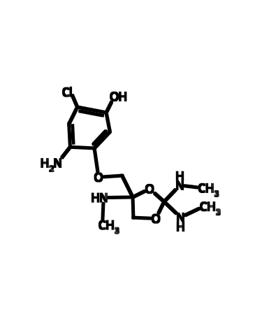 CNC1(COc2cc(O)c(Cl)cc2N)COC(NC)(NC)O1